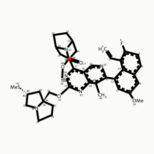 C=Cc1c(F)ccc2cc(OC)cc(-c3ncc4c(N5CC6CCC(C5)N6C(=O)OC(C)(C)C)nc(OC[C@@]56CCCN5C[C@H](SC)C6)nc4c3C)c12